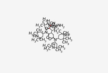 CC1(C)CC(N(C(=O)CC(C(=O)N(C2CC(C)(C)NC(C)(C)C2)C2CC(C)(C)NC(C)(C)C2)C(CC(N)=O)C(N)=O)C2CC(C)(C)NC(C)(C)C2)CC(C)(C)N1